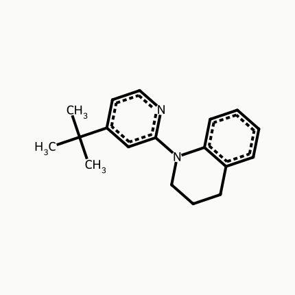 CC(C)(C)c1ccnc(N2CCCc3ccccc32)c1